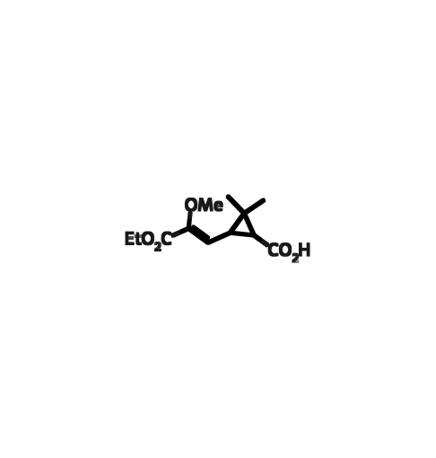 CCOC(=O)C(=CC1C(C(=O)O)C1(C)C)OC